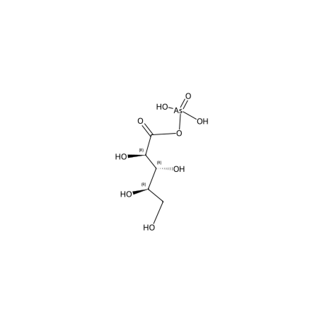 O=C(O[As](=O)(O)O)[C@H](O)[C@H](O)[C@H](O)CO